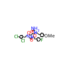 COc1ccc(CCN(CC(N)=O)C(=O)CC2C(=O)N(CCc3ccc(Cl)cc3Cl)CC(=O)N2CCC2=CCC(F)C=C2)cc1